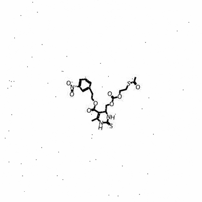 CC(=O)SCCOC(=O)OCC1NC(=S)NC(C)=C1C(=O)OCCc1cccc([N+](=O)[O-])c1